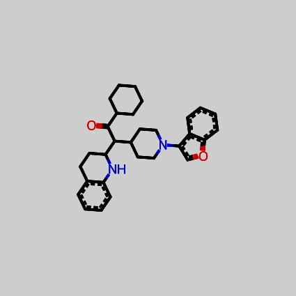 O=C(C1CCCCC1)C(C1CCN(c2coc3ccccc23)CC1)C1CCc2ccccc2N1